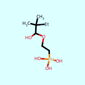 CCC(C)(C)C(O)OCC[PH](O)(O)O